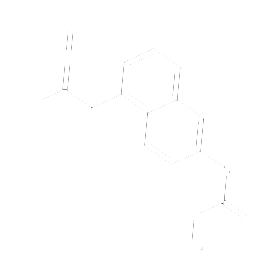 CC(=C=O)Cc1cccc2cc(NC(=O)OC(C)(C)C)ccc12